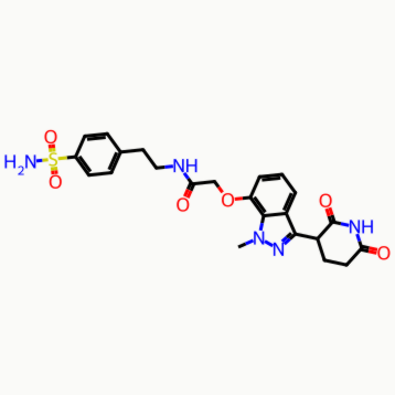 Cn1nc(C2CCC(=O)NC2=O)c2cccc(OCC(=O)NCCc3ccc(S(N)(=O)=O)cc3)c21